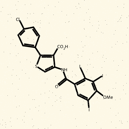 COc1c(I)cc(C(=O)Nc2csc(-c3ccc(Cl)cc3)c2C(=O)O)c(I)c1I